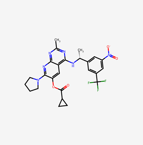 Cc1nc(N[C@H](C)c2cc([N+](=O)[O-])cc(C(F)(F)F)c2)c2cc(OC(=O)C3CC3)c(N3CCCC3)nc2n1